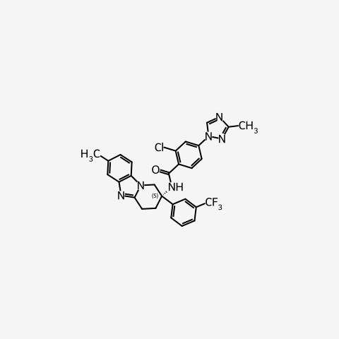 Cc1ccc2c(c1)nc1n2C[C@@](NC(=O)c2ccc(-n3cnc(C)n3)cc2Cl)(c2cccc(C(F)(F)F)c2)CC1